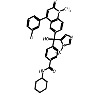 Cn1cncc1C(O)(c1ccc(C(=O)NC2CCCCC2)cc1)c1ccc2c(c1)c(-c1cccc(Cl)c1)cc(=O)n2C